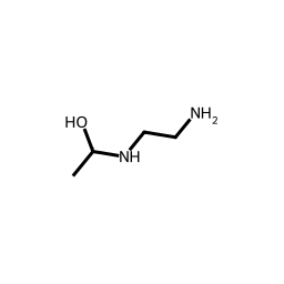 C[C](O)NCCN